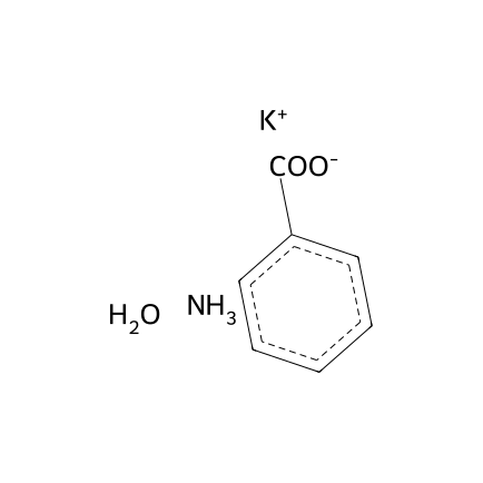 N.O.O=C([O-])c1ccccc1.[K+]